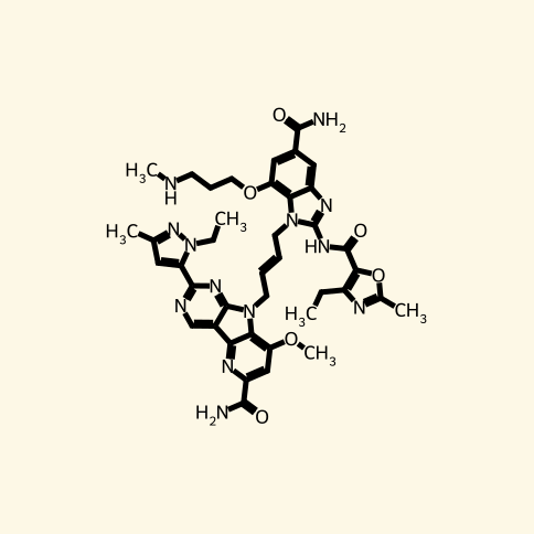 CCc1nc(C)oc1C(=O)Nc1nc2cc(C(N)=O)cc(OCCCNC)c2n1C/C=C/Cn1c2nc(-c3cc(C)nn3CC)ncc2c2nc(C(N)=O)cc(OC)c21